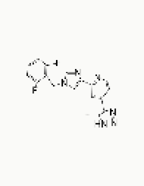 Cc1[nH]nnc1-c1ccnc(-c2cn(Cc3c(F)cccc3F)cn2)c1